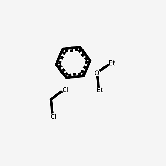 CCOCC.ClCCl.c1ccccc1